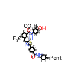 CCCCCc1ccc(CNC(=O)c2ccc(-c3nc(Cc4cc(C(=O)Nc5ccc(O)c(C(=O)O)c5)ccc4C(F)(F)F)cs3)cc2)cc1